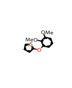 COc1cccc(Oc2c[c]cs2)c1OC